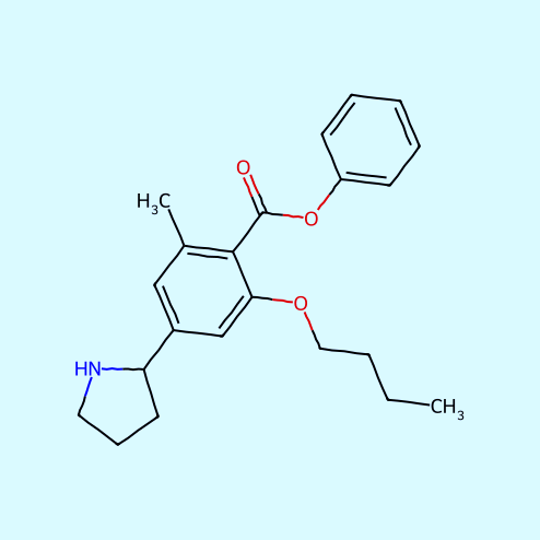 CCCCOc1cc(C2CCCN2)cc(C)c1C(=O)Oc1ccccc1